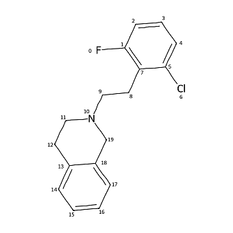 Fc1cccc(Cl)c1CCN1CCc2ccccc2C1